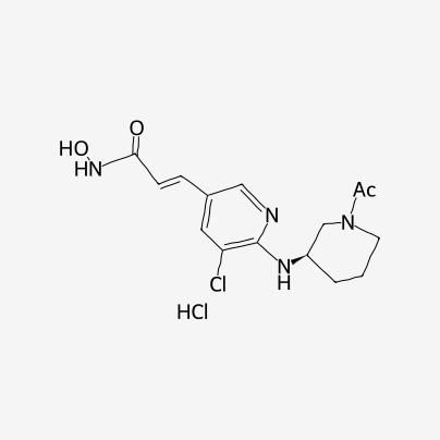 CC(=O)N1CCC[C@@H](Nc2ncc(/C=C/C(=O)NO)cc2Cl)C1.Cl